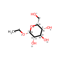 CCO[C@@H]1O[C@H](CO)[C@H](O)[C@@H](O)[C@@H]1O